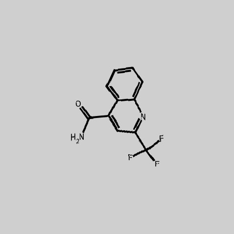 NC(=O)c1cc(C(F)(F)F)nc2ccccc12